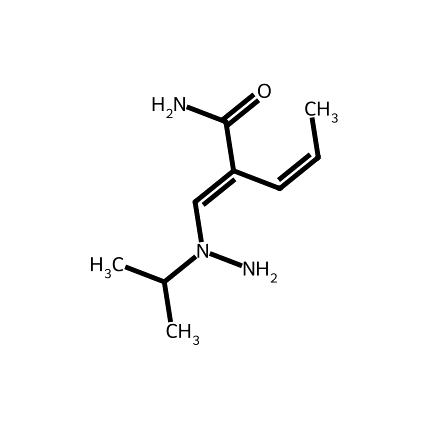 C/C=C\C(=C/N(N)C(C)C)C(N)=O